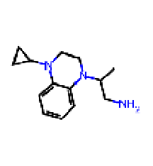 CC(CN)N1CCN(C2CC2)c2ccccc21